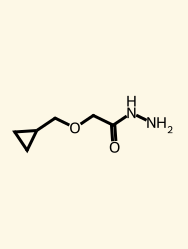 NNC(=O)COCC1CC1